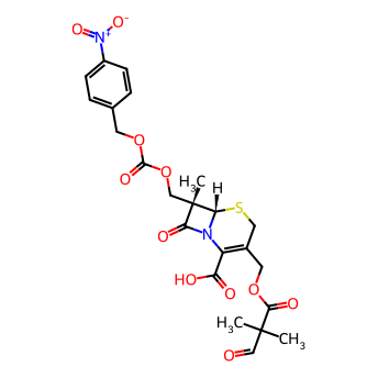 CC(C)(C=O)C(=O)OCC1=C(C(=O)O)N2C(=O)[C@](C)(COC(=O)OCc3ccc([N+](=O)[O-])cc3)[C@@H]2SC1